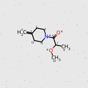 C=C1CCN(C(=O)C(C)OC)CC1